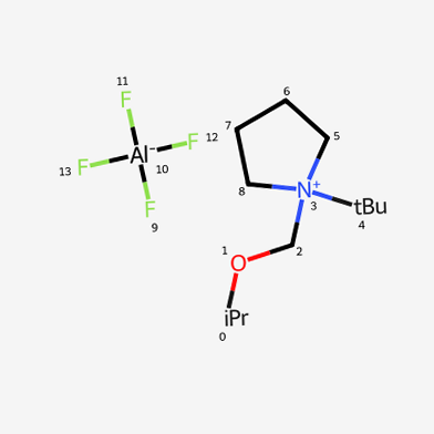 CC(C)OC[N+]1(C(C)(C)C)CCCC1.[F][Al-]([F])([F])[F]